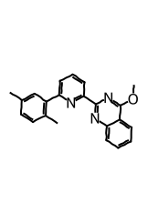 COc1nc(-c2cccc(-c3cc(C)ccc3C)n2)nc2ccccc12